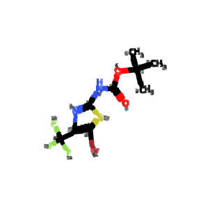 CC(C)(C)OC(=O)Nc1nc(C(F)(F)F)c(Br)s1